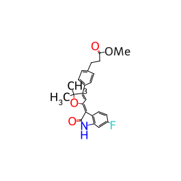 COC(=O)CCc1ccc(C2=CC(=C3C(=O)Nc4cc(F)ccc43)OC2(C)C)cc1